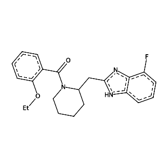 CCOc1ccccc1C(=O)N1CCCCC1Cc1nc2c(F)cccc2[nH]1